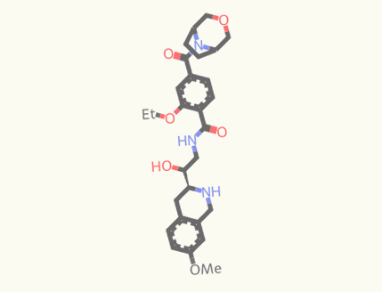 CCOc1cc(C(=O)N2C3CCC2COC3)ccc1C(=O)NCC(O)[C@@H]1Cc2ccc(OC)cc2CN1